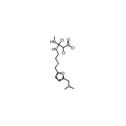 CNC(Cl)(NCCSCc1ccc(CN(C)C)o1)C(Cl)[N+](=O)[O-]